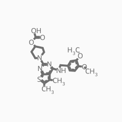 COc1ccc(CNc2nc(N3CCC(OC(=O)O)CC3)nc3sc(C)c(C)c23)cc1OC